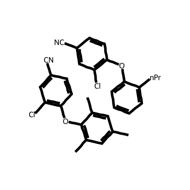 CCCc1ccccc1Oc1ccc(C#N)cc1Cl.Cc1cc(C)c(Oc2ccc(C#N)cc2Cl)c(C)c1